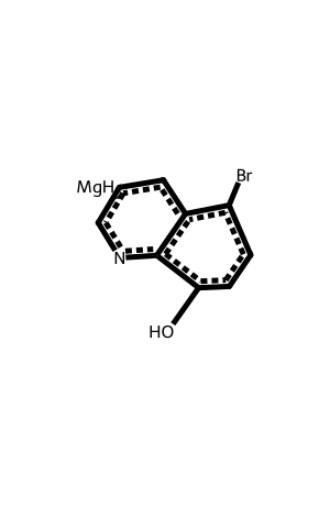 Oc1ccc(Br)c2cccnc12.[MgH2]